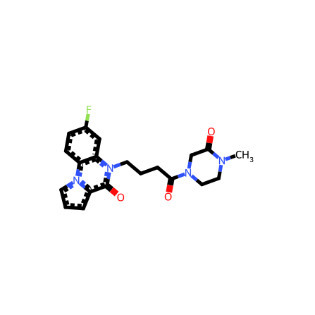 CN1CCN(C(=O)CCCn2c(=O)c3cccn3c3ccc(F)cc32)CC1=O